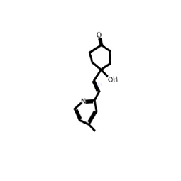 Cc1ccnc(/C=C/C2(O)CCC(=O)CC2)c1